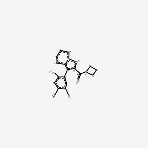 Cc1cc(Cl)c(F)cc1-c1c(C(=O)N2CCC2)nn2cccnc12